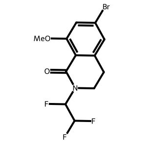 COc1cc(Br)cc2c1C(=O)N(C(F)C(F)F)CC2